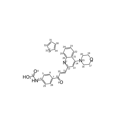 O=C(O)Nc1ccc(C(=O)/C=C/c2cc(N3CCOCC3)c3ccccc3n2)cc1.c1ccsc1